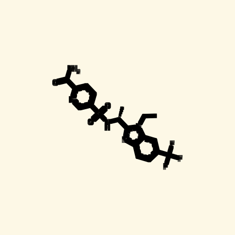 CCn1c([C@@H](C)NS(=O)(=O)c2ccc(C(N)=O)nc2)nc2ccc(C(F)(F)F)cc21